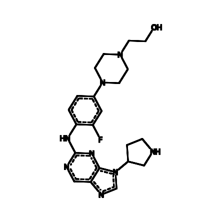 OCCN1CCN(c2ccc(Nc3ncc4ncn(C5CCNC5)c4n3)c(F)c2)CC1